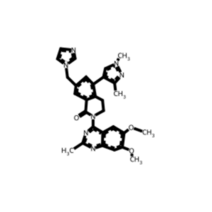 COc1cc2nc(C)nc(N3CCc4c(cc(Cn5ccnc5)cc4-c4cn(C)nc4C)C3=O)c2cc1OC